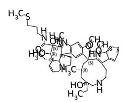 CC[C@@]1(O)CNCCc2c([nH]c3ccccc23)[C@@](C(=O)OC)(c2cc3c(cc2OC)N(C)[C@H]2[C@@](O)(C(=O)NCCCSC)[C@H](O)[C@]4(CC)C=CCN5CC[C@]32C54)C[C@@H](C)C1